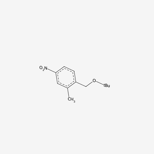 Cc1cc([N+](=O)[O-])ccc1COC(C)(C)C